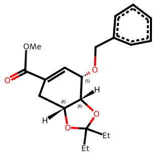 CCC1(CC)O[C@H]2[C@@H](OCc3ccccc3)C=C(C(=O)OC)C[C@H]2O1